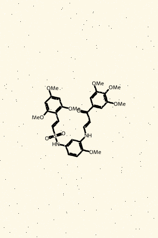 COc1cc(OC)c(/C=C/S(=O)(=O)Nc2ccc(OC)c(N/C=C/C(=O)c3cc(OC)c(OC)c(OC)c3)c2)c(OC)c1